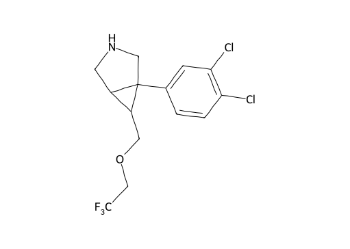 FC(F)(F)COCC1C2CNCC21c1ccc(Cl)c(Cl)c1